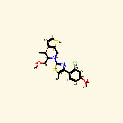 CCC(COC)N(Cc1cccs1)c1nc(-c2ccc(OC)cc2Cl)c(C)s1